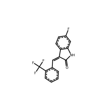 O=C1Nc2cc(F)ccc2C1=Cc1ccccc1C(F)(F)F